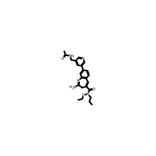 CCCN(OCC)C(=O)C1=Cc2ccc(-c3cncc(CNC(C)=O)c3)cc2N=C(N)C1